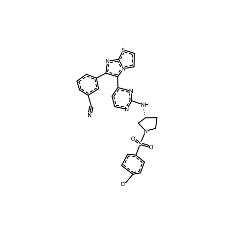 N#Cc1cccc(-c2nc3sccn3c2-c2ccnc(N[C@@H]3CCN(S(=O)(=O)c4ccc(Cl)cc4)C3)n2)c1